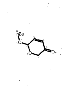 CCCCOC1C=CC(=O)CO1